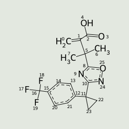 C=C(C(=O)O)C(C)(C)c1nc(C2(c3ccc(C(F)(F)F)cc3)CC2)no1